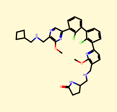 COc1nc(-c2cccc(-c3cccc(-c4cnc(CNCC5CCC5)c(OC)n4)c3Cl)c2Cl)ccc1CNCC1CCC(=O)N1